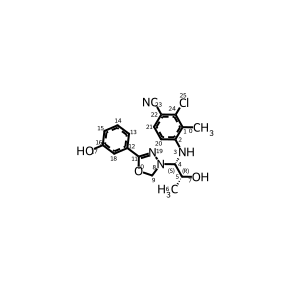 Cc1c(N[C@H]([C@@H](C)O)N2COC(c3cccc(O)c3)=N2)ccc(C#N)c1Cl